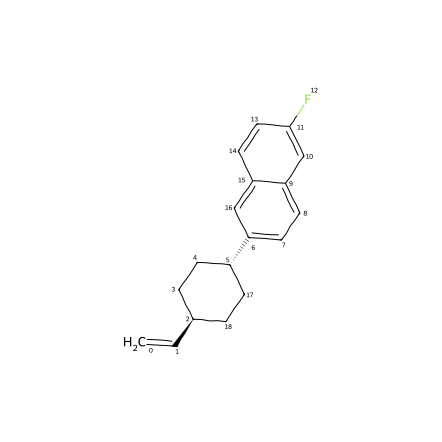 C=C[C@H]1CC[C@H](c2ccc3cc(F)ccc3c2)CC1